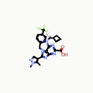 Cc1c(-c2nc3nc(C(=O)O)nc(N[C@H](C)C4CCC4)c3n2Cc2ccc(C(F)(F)F)cc2)cnn1C